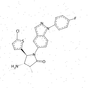 C[C@H]1C(=O)N(c2ccc3c(cnn3-c3ccc(F)cc3)c2)[C@H](c2ccc(Cl)s2)[C@H]1N